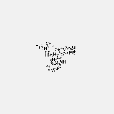 CCN(CC)CCNc1nc(-c2ccc(F)cc2C)c2c(n1)N(c1c(F)cccc1F)C(=O)NC2.O=C(O)C(F)(F)F